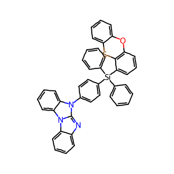 c1ccc([Si](c2ccccc2)(c2ccc(-n3c4ccccc4n4c5ccccc5nc34)cc2)c2cccc3c2Sc2ccccc2O3)cc1